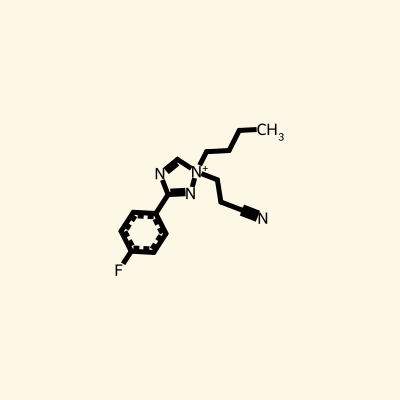 CCCC[N+]1(CCC#N)C=NC(c2ccc(F)cc2)=N1